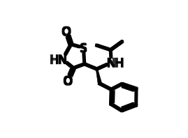 CC(C)N[C@@H](Cc1ccccc1)C1SC(=O)NC1=O